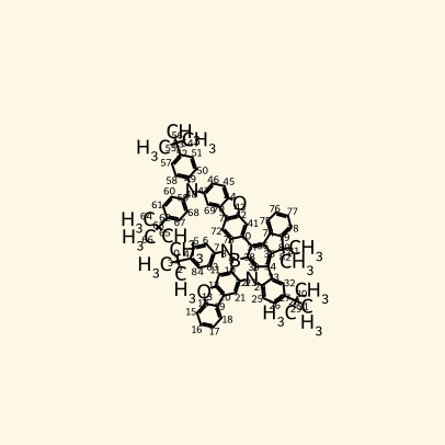 CC(C)(C)c1ccc(N2B3c4cc5oc6ccccc6c5cc4-n4c5ccc(C(C)(C)C)cc5c5c6c(c(c3c54)-c3cc4oc5ccc(N(c7ccc(C(C)(C)C)cc7)c7ccc(C(C)(C)C)cc7)cc5c4cc32)-c2ccccc2C6(C)C)cc1